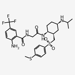 CSc1ccc(S(=O)(=O)C[C@@H]2C[C@H](NC(C)C)CC[C@@H]2NC(=O)CNC(=O)c2cc(C(F)(F)F)ccc2N)cc1